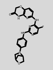 O=C1COc2ccc(Nc3nc(Nc4ccc(N5CC6CC5CO6)cc4)ncc3F)nc2N1